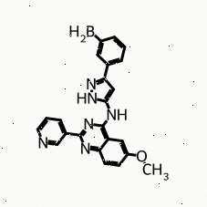 Bc1cccc(-c2cc(Nc3nc(-c4cccnc4)nc4ccc(OC)cc34)[nH]n2)c1